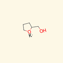 OCC1CCCO1.[K]